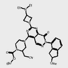 CCN(CC)C1CN(c2nc(N3CCN(C(=O)OC(C)(C)C)C(CC#N)C3)c3cnn(-c4cccc5c4CC(OC)C5)c(=O)c3n2)C1